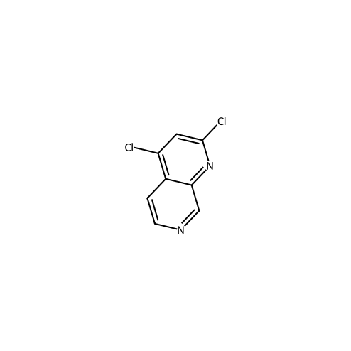 Clc1cc(Cl)c2ccncc2n1